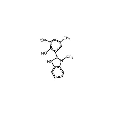 Cc1cc(N2Nc3ccccc3N2C)c(O)c(C(C)(C)C)c1